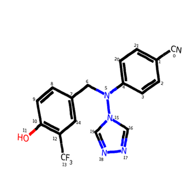 N#Cc1ccc(N(Cc2ccc(O)c(C(F)(F)F)c2)n2cnnc2)cc1